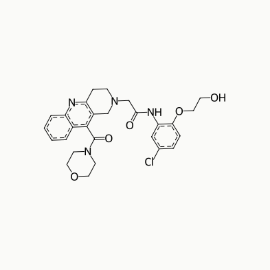 O=C(CN1CCc2nc3ccccc3c(C(=O)N3CCOCC3)c2C1)Nc1cc(Cl)ccc1OCCO